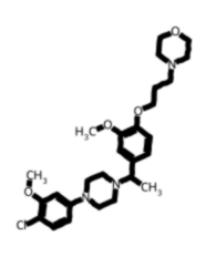 COc1cc(N2CCN(C(C)c3ccc(OCCCN4CCOCC4)c(OC)c3)CC2)ccc1Cl